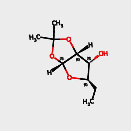 CC[C@H]1O[C@@H]2OC(C)(C)O[C@@H]2[C@@H]1O